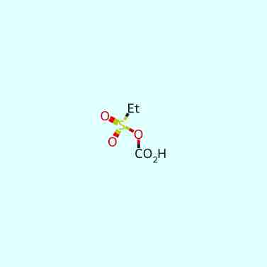 CCS(=O)(=O)OC(=O)O